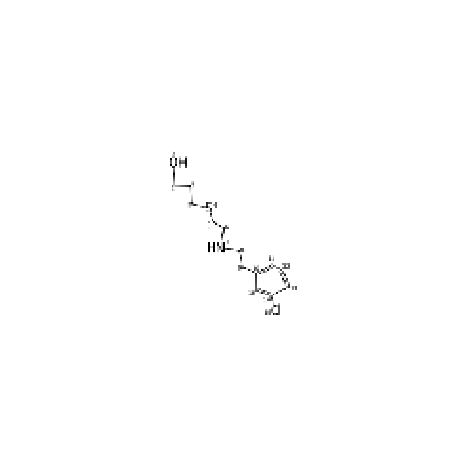 OCCCSCCNCCc1cccc(Cl)c1